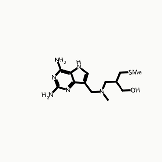 CSCC(CO)CN(C)Cc1c[nH]c2c(N)nc(N)nc12